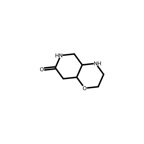 O=C1CC2OCCNC2CN1